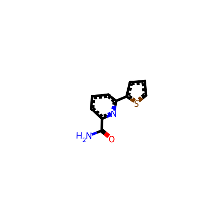 NC(=O)c1cccc(-c2cccs2)n1